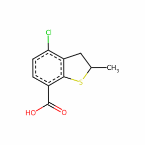 CC1Cc2c(Cl)ccc(C(=O)O)c2S1